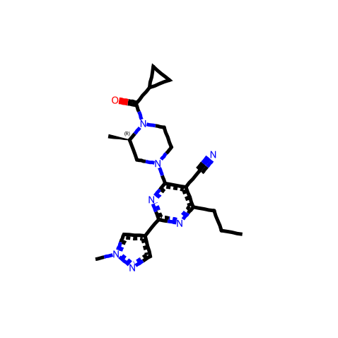 CCCc1nc(-c2cnn(C)c2)nc(N2CCN(C(=O)C3CC3)[C@H](C)C2)c1C#N